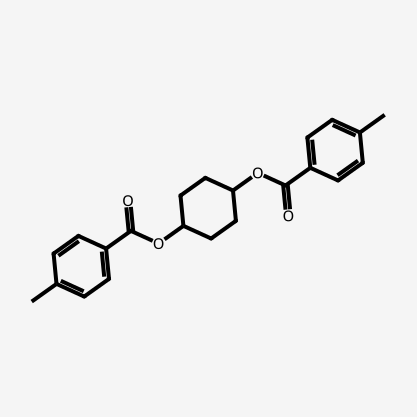 Cc1ccc(C(=O)OC2CCC(OC(=O)c3ccc(C)cc3)CC2)cc1